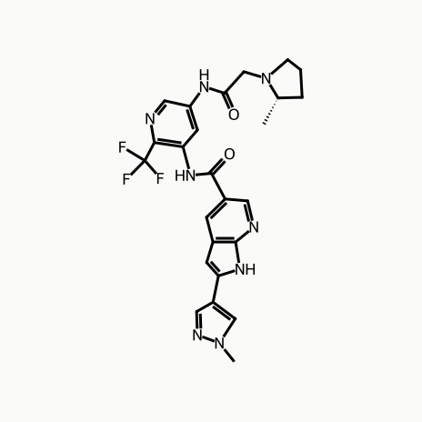 C[C@H]1CCCN1CC(=O)Nc1cnc(C(F)(F)F)c(NC(=O)c2cnc3[nH]c(-c4cnn(C)c4)cc3c2)c1